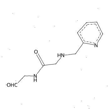 O=[C]CNC(=O)CNCc1ccccn1